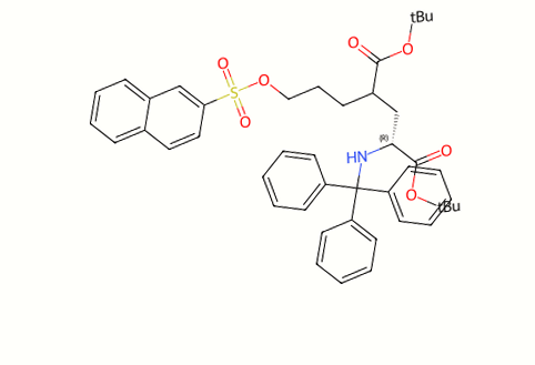 CC(C)(C)OC(=O)C(CCCOS(=O)(=O)c1ccc2ccccc2c1)C[C@@H](NC(c1ccccc1)(c1ccccc1)c1ccccc1)C(=O)OC(C)(C)C